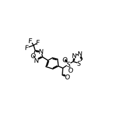 O=CC(c1ccc(-c2noc(C(F)(F)F)n2)cc1)S(=O)(=O)c1nncs1